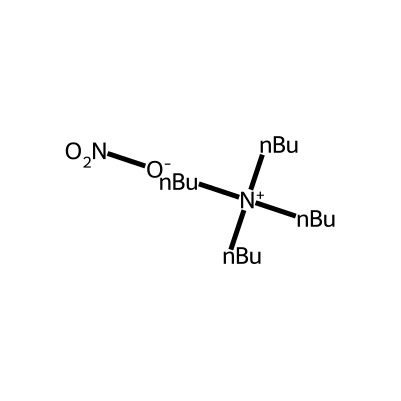 CCCC[N+](CCCC)(CCCC)CCCC.O=[N+]([O-])[O-]